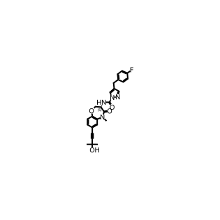 CN1C(=O)[C@@H](NC(=O)n2cc(Cc3ccc(F)cc3)cn2)COc2ccc(C#CC(C)(C)O)cc21